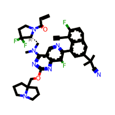 C#Cc1c(F)ccc2cc(C(C)(C)C#N)cc(-c3ncc4c(N(C)C[C@H]5N(C(=O)C=C)CCC5(F)F)nc(OCC56CCCN5CCC6)nc4c3F)c12